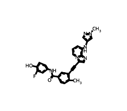 Cc1ccc(C(=O)Nc2ccc(O)c(F)c2)cc1C#Cc1cnc2c(Nc3cnn(C)c3)cccn12